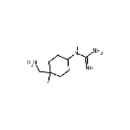 CC1(CN)CCC(NC(=N)N)CC1